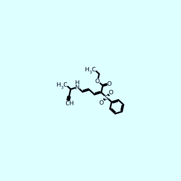 C#CC(C)NC=CC=C(C(=O)OCC)S(=O)(=O)c1ccccc1